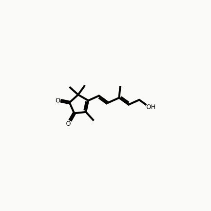 CC1=C(/C=C/C(C)=C/CO)C(C)(C)C(=O)C1=O